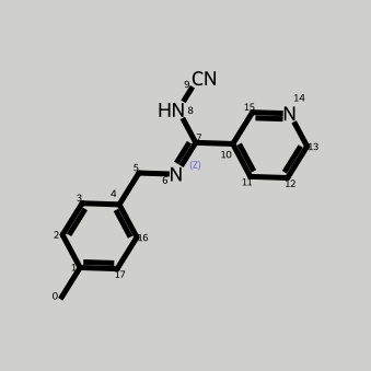 Cc1ccc(C/N=C(\NC#N)c2cccnc2)cc1